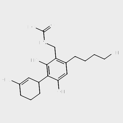 CCCCCc1cc(O)c(C2C=C(C)CCC2)c(O)c1CNC(=O)O